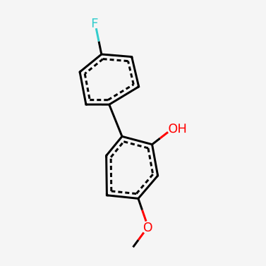 COc1ccc(-c2ccc(F)cc2)c(O)c1